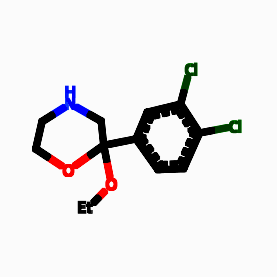 CCOC1(c2ccc(Cl)c(Cl)c2)CNCCO1